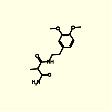 COc1ccc(CCNC(=O)[C](C)C(N)=O)cc1OC